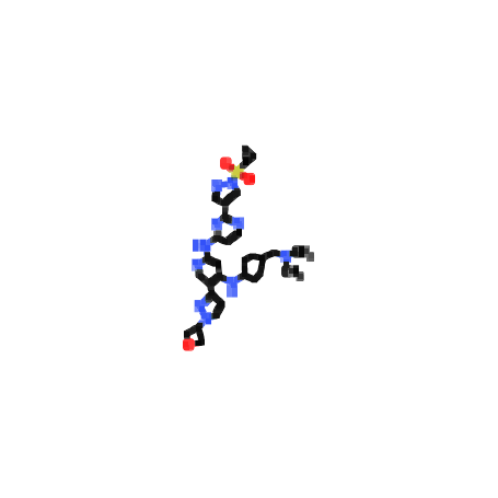 CN(C)CC1CCC(Nc2cc(Nc3ccnc(-c4cnn(S(=O)(=O)C5CC5)c4)n3)ncc2-c2ccn(C3COC3)n2)CC1